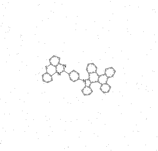 c1ccc2c(c1)Sc1cccc3nc(-c4ccc(-n5c6ccccc6c6c7c8ccccc8c8ccccc8c7c7ccccc7c65)cc4)nc-2c13